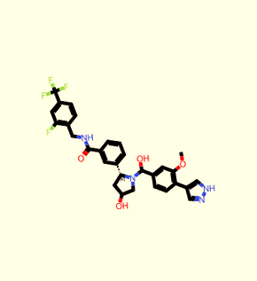 COc1cc(C(O)N2CC(O)C[C@@H]2c2cccc(C(=O)NCc3ccc(C(F)(F)F)cc3F)c2)ccc1-c1cn[nH]c1